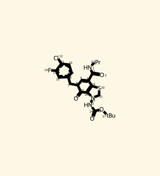 CC(C)NC(=O)C1=CC(Cc2ccc(Cl)c(F)c2)C(=O)C2=C1SCN2NC(=O)OC(C)(C)C